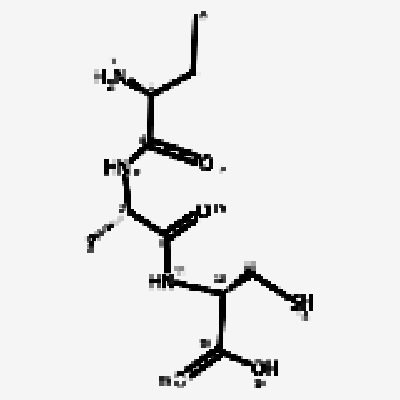 CC[C@H](N)C(=O)N[C@@H](C)C(=O)N[C@@H](CS)C(=O)O